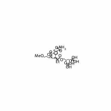 CCN(C(=O)OCC(CON(O)O)ON(O)O)[C@H]1CN(CCCOC)S(=O)(=O)c2sc(S(N)(=O)=O)cc21